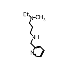 CCN(C)CCCNCc1ccccn1